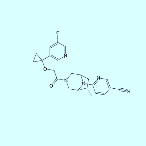 C[C@H]1CC2CN(C(=O)COC3(c4cncc(F)c4)CC3)CC1N2c1ccc(C#N)cn1